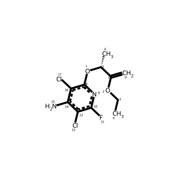 C=C(OCC)[C@@H](C)Oc1nc(F)c(Cl)c(N)c1Cl